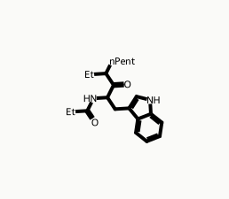 CCCCCC(CC)C(=O)C(Cc1c[nH]c2ccccc12)NC(=O)CC